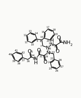 NC(=O)C(=O)NN(CC(c1ccccc1)c1ccccc1)N(Cc1ccccc1)C(=O)C(=O)NC(=O)Cc1ccccc1